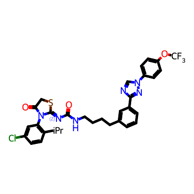 CC(C)c1ccc(Cl)cc1N1C(=O)CS/C1=N\C(=O)NCCCCc1cccc(-c2ncn(-c3ccc(OC(F)(F)F)cc3)n2)c1